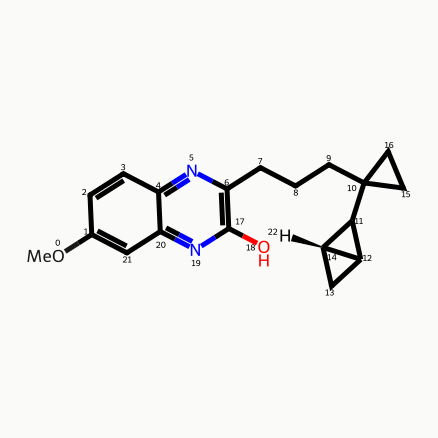 COc1ccc2nc(CCCC3(C4C5C[C@@H]54)CC3)c(O)nc2c1